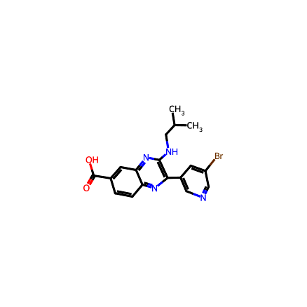 CC(C)CNc1nc2cc(C(=O)O)ccc2nc1-c1cncc(Br)c1